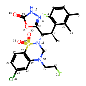 Cc1ccc(F)c([C@@H](C)[C@@H](c2n[nH]c(=O)o2)N2CN(CCF)c3cc(Cl)ccc3S2(=O)=O)c1C